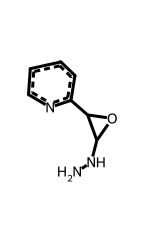 NNC1OC1c1ccccn1